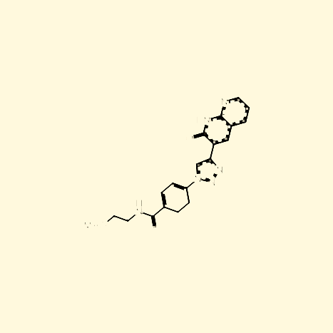 COCCNC(=O)C1=CC=C(n2cc(-c3cc4cccnc4[nH]c3=O)nn2)CC1